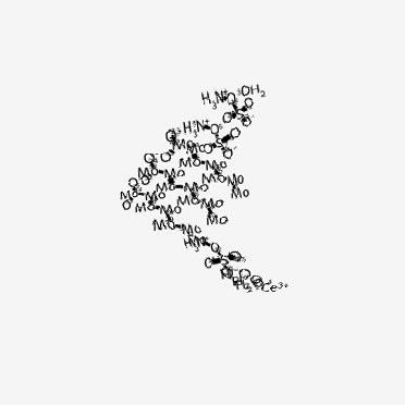 O.O.O.O.[Ce+3].[NH3+]OS(=O)(=O)[O-].[NH3+]OS(=O)(=O)[O-].[NH3+]OS(=O)(=O)[O-].[O]=[Mo]([O-])/[Mo]=[Mo]/[Mo][Mo][Mo][Mo].[O]=[Mo]([O-])/[Mo]=[Mo]/[Mo][Mo][Mo][Mo].[O]=[Mo]([O-])/[Mo]=[Mo]/[Mo][Mo][Mo][Mo]